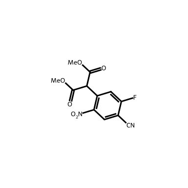 COC(=O)C(C(=O)OC)c1cc(F)c(C#N)cc1[N+](=O)[O-]